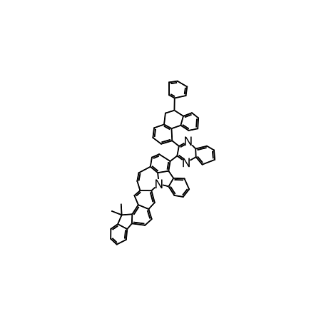 CC1(C)c2ccccc2-c2ccc3cc4c(cc3c21)C=Cc1ccc(-c2nc3ccccc3nc2-c2cccc3c2-c2ccccc2C(c2ccccc2)C3)c2c3ccccc3n-4c12